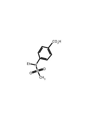 CCN(c1ccc(C(=O)O)cc1)S(C)(=O)=O